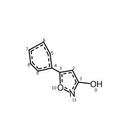 Oc1cc(-c2ccccc2)on1